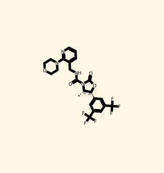 C[C@H]1[C@@H](c2cc(C(F)(F)F)cc(C(F)(F)F)c2)OC(=O)N1C(=O)NCc1cccnc1N1CCOCC1